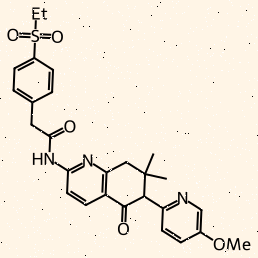 CCS(=O)(=O)c1ccc(CC(=O)Nc2ccc3c(n2)CC(C)(C)C(c2ccc(OC)cn2)C3=O)cc1